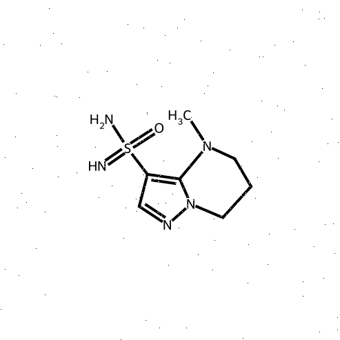 CN1CCCn2ncc(S(=N)(N)=O)c21